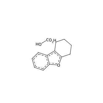 O=C(O)O.c1ccc2c3c(oc2c1)CCCC3